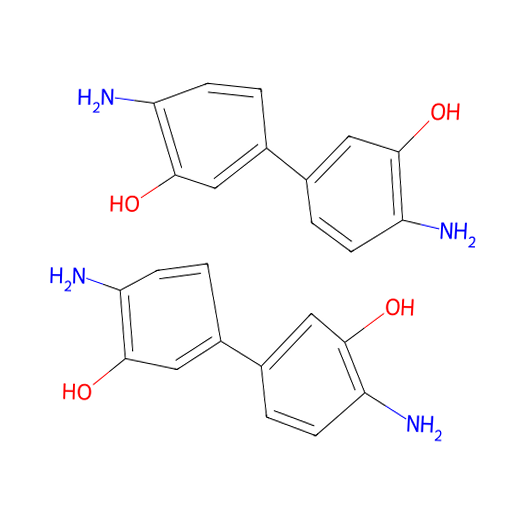 Nc1ccc(-c2ccc(N)c(O)c2)cc1O.Nc1ccc(-c2ccc(N)c(O)c2)cc1O